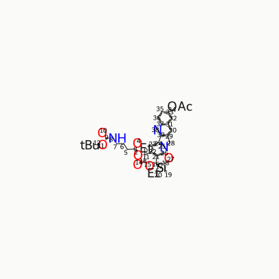 CCC1(OC(=O)CCCNC(=O)OC(C)(C)C)C(=O)OC([Si](C)(C)CC)c2c1cc1n(c2=O)Cc2cc3cc(OC(C)=O)ccc3nc2-1